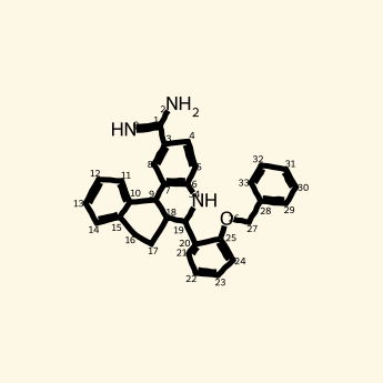 N=C(N)c1ccc2c(c1)C1c3ccccc3CCC1C(c1ccccc1OCc1ccccc1)N2